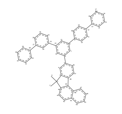 CC1(C)c2cc(-c3cc(-c4ccc(-c5cccnc5)cc4)cc(-c4cccc(-c5ccccc5)c4)c3)ccc2-c2c1ccc1ccccc21